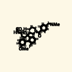 CNCc1ccc(C(=O)N2CCC[C@@H]([C@@](O)(CCCNC(=O)O)c3cccc(F)c3-c3cccc(OC)c3)C2)cc1